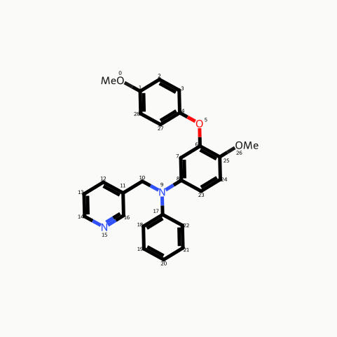 COc1ccc(Oc2cc(N(Cc3cccnc3)c3ccccc3)ccc2OC)cc1